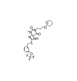 Cn1c(=O)n(CCCOC2CCCCO2)c(=O)c2[nH]c(SCc3cccc(OC(F)(F)F)c3)nc21